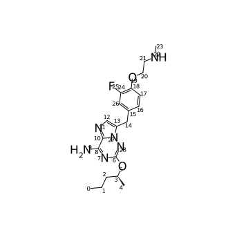 CCC[C@H](C)Oc1nc(N)c2ncc(Cc3ccc(OCCNC)c(F)c3)n2n1